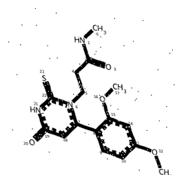 CNC(=O)CCn1c(-c2ccc(OC)cc2OC)cc(=O)[nH]c1=S